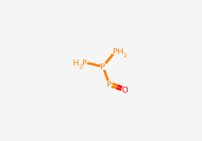 O=PP(P)P